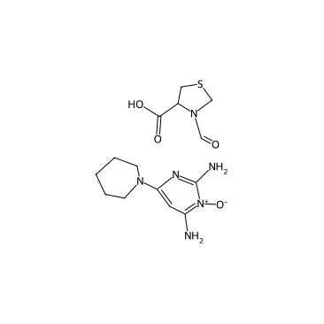 Nc1cc(N2CCCCC2)nc(N)[n+]1[O-].O=CN1CSCC1C(=O)O